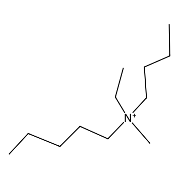 CCCCC[N+](C)(CC)CCCC